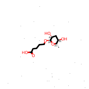 C[C@@H]1O[C@@H](OCCCCC(=O)O)[C@H](O)C[C@H]1O